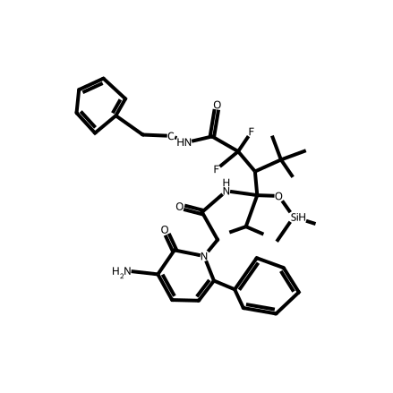 CC(C)C(NC(=O)Cn1c(-c2ccccc2)ccc(N)c1=O)(O[SiH](C)C)C(C(C)(C)C)C(F)(F)C(=O)NCCc1ccccc1